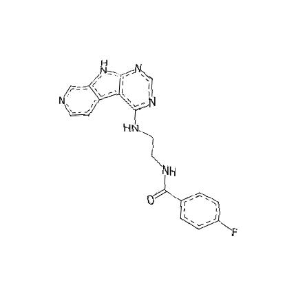 O=C(NCCNc1ncnc2[nH]c3cnccc3c12)c1ccc(F)cc1